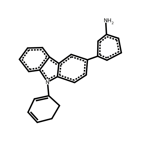 Nc1cccc(-c2ccc3c(c2)c2ccccc2n3C2=CC=CCC2)c1